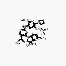 COc1nc(N2CCC[C@@H]2CN(C)C)c([N+](=O)[O-])cc1Nc1ncc(C(=O)OC(C)C)c(N2CC(C)(C)c3nc(C)ccc32)n1